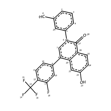 [CH]c1cccc(-n2cc(-c3ccc(C(F)(F)F)c(F)c3)c3cc(O)ccc3c2=O)c1